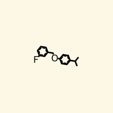 CC(C)c1ccc(OCc2cccc(F)c2)cc1